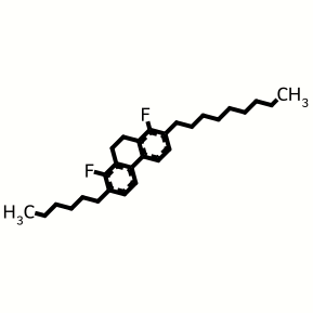 CCCCCCCCCc1ccc2c(c1F)CCc1c-2ccc(CCCCCC)c1F